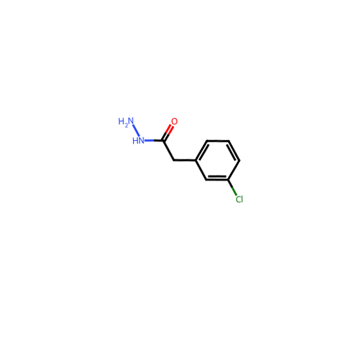 NNC(=O)Cc1cccc(Cl)c1